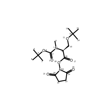 CN(C(=O)OC(C)(C)C)[C@@H](COC(C)(C)C)C(=O)ON1C(=O)CCC1=O